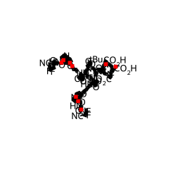 CC(C)(C)OC(=O)CN1CCN(C(=O)CN2CCN(CC(=O)O)CCN(CC(=O)O)CCN(CC(=O)O)CC2)CCN(c2c(NCCCCOc3ccc4nccc(C(=O)NCC(=O)N5CC(F)(F)C[C@H]5C#N)c4c3)c(=O)c2=O)CCN(c2c(NCCCCOc3ccc4nccc(C(=O)NCC(=O)N5CC(F)(F)C[C@H]5C#N)c4c3)c(=O)c2=O)CC1